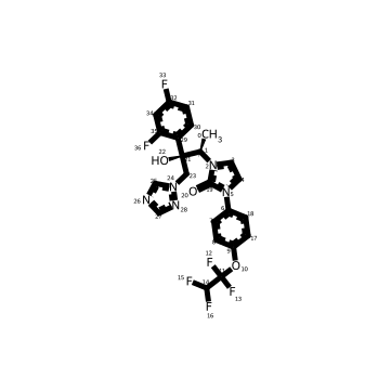 C[C@@H](n1ccn(-c2ccc(OC(F)(F)C(F)F)cc2)c1=O)[C@](O)(Cn1cncn1)c1ccc(F)cc1F